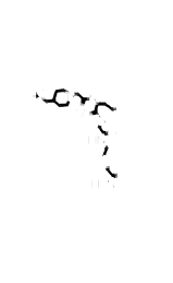 CCN(C)CC1CCN(CC(=O)NC(CCC(=O)O)C(=O)NCC(=O)NCCOCC(N)=O)CC1